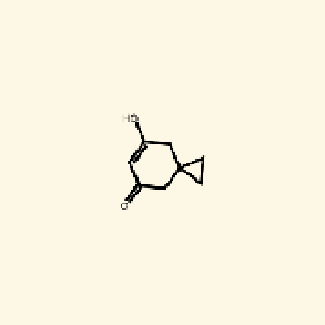 O=C1C=C(O)CC2(CC2)C1